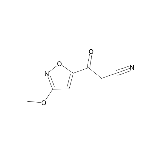 COc1cc(C(=O)CC#N)on1